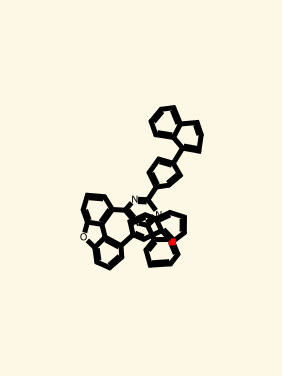 c1ccc(-c2nc(-c3ccc(-c4cccc5ccccc45)cc3)nc(-c3cccc4oc5cccc(-c6ccc7ccccc7c6)c5c34)n2)cc1